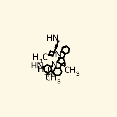 CC1=CC(C#CC=N)(N2C3=C(CCC=C3)C3C2C2N4C5CC(=N)CC(C)C5C5CCC(C4[C@@H]5C)C24C(C)C34)C1